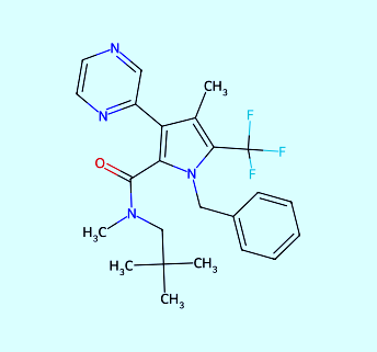 Cc1c(-c2cnccn2)c(C(=O)N(C)CC(C)(C)C)n(Cc2ccccc2)c1C(F)(F)F